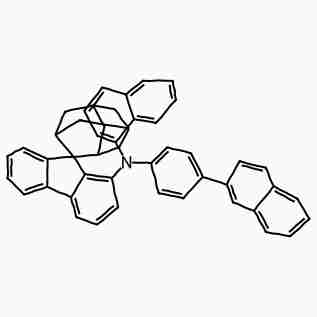 c1ccc2c(c1)-c1cccc(N(c3ccc(-c4ccc5ccccc5c4)cc3)c3cccc4ccccc34)c1C21C2CC3CC(C2)CC1C3